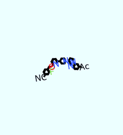 CC(=O)c1ccc2nc3n(c2c1)CCC3N1CCC(c2cccc(OCc3ccc(C#N)cc3F)n2)CC1